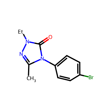 CCn1nc(C)n(-c2ccc(Br)cc2)c1=O